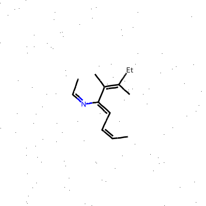 C\C=C/C=C(\N=C/C)C(/C)=C(\C)CC